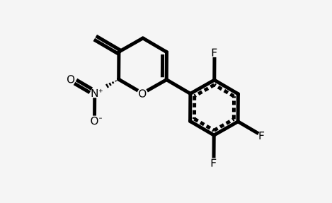 C=C1CC=C(c2cc(F)c(F)cc2F)O[C@@H]1[N+](=O)[O-]